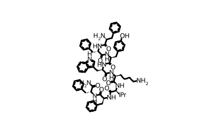 CC(C)[C@H](NC(=O)[C@H](CCCCN)NC(=O)[C@@H](Cc1c[nH]c2ccccc12)NC(=O)[C@H](Cc1ccc(O)cc1)NC(=O)[C@H](Cc1ccccc1)NC(=O)[C@H](N)Cc1ccccc1)C(=O)N[C@@H](Cc1ccccc1)C(=O)N[C@H](Cc1ccccc1)C(N)=O